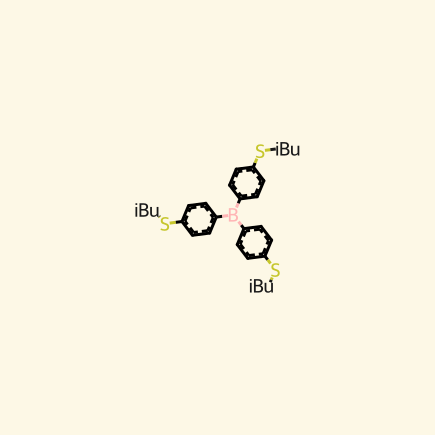 CCC(C)Sc1ccc(B(c2ccc(SC(C)CC)cc2)c2ccc(SC(C)CC)cc2)cc1